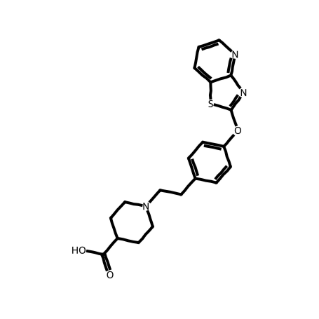 O=C(O)C1CCN(CCc2ccc(Oc3nc4ncccc4s3)cc2)CC1